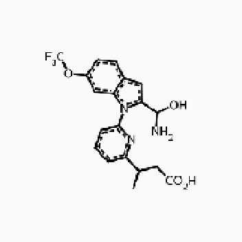 CC(CC(=O)O)c1cccc(-n2c(C(N)O)cc3ccc(OC(F)(F)F)cc32)n1